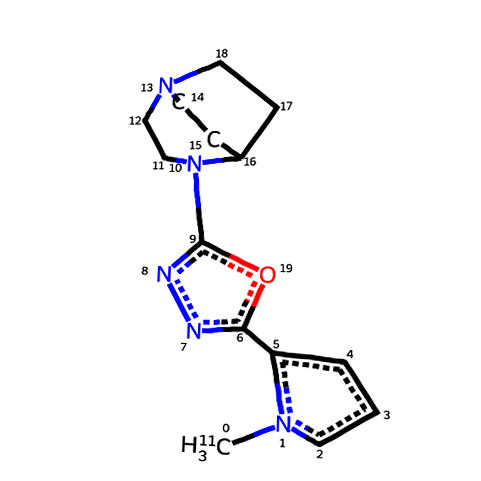 [11CH3]n1cccc1-c1nnc(N2CCN3CCC2CC3)o1